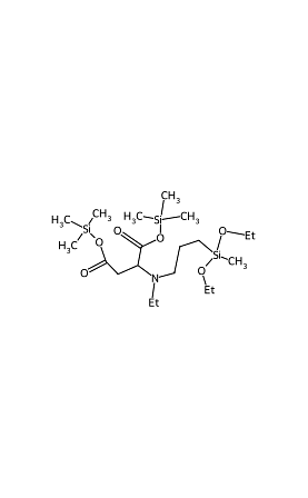 CCO[Si](C)(CCCN(CC)C(CC(=O)O[Si](C)(C)C)C(=O)O[Si](C)(C)C)OCC